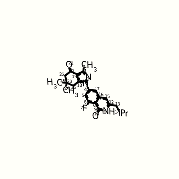 Cc1nn(-c2cc(F)c3c(=O)[nH]c(CC(C)C)cc3c2)c2c1C(=O)CC(C)(C)C2